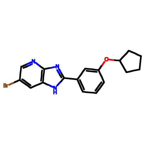 Brc1cnc2nc(-c3cccc(OC4CCCC4)c3)[nH]c2c1